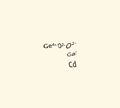 [Cd].[Ga].[Ge+4].[O-2].[O-2]